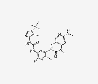 CNc1cc2c(cn1)cc(-c1cc(NC(=O)Nc3ncn(C(C)(C)C)c3C)c(F)cc1C)c(=O)n2C